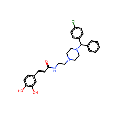 O=C(C=Cc1ccc(O)c(O)c1)NCCN1CCN(C(c2ccccc2)c2ccc(Cl)cc2)CC1